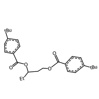 CCC(CCOC(=O)c1ccc(C(C)(C)C)cc1)OC(=O)c1ccc(C(C)(C)C)cc1